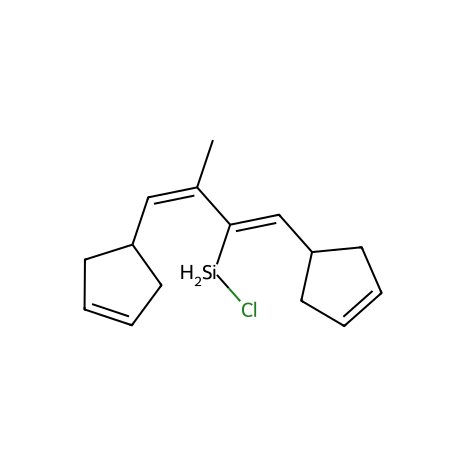 CC(=CC1CC=CC1)C(=CC1CC=CC1)[SiH2]Cl